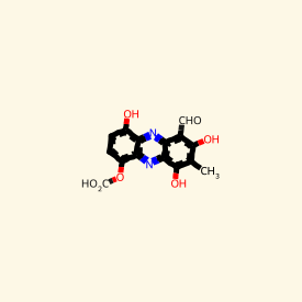 Cc1c(O)c(C=O)c2nc3c(O)ccc(OC(=O)O)c3nc2c1O